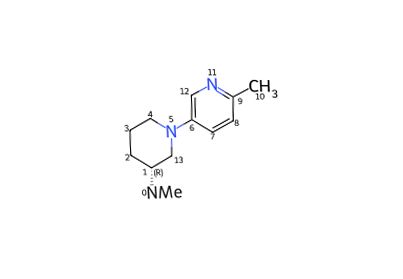 CN[C@@H]1CCCN(c2ccc(C)nc2)C1